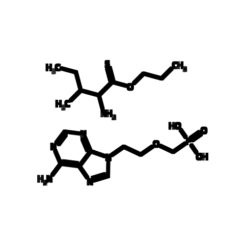 CCCOC(=S)C(N)C(C)CC.Nc1ncnc2c1ncn2CCOCP(=O)(O)O